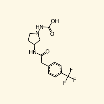 O=C(O)NN1CCC(NC(=O)Cc2ccc(C(F)(F)F)cc2)C1